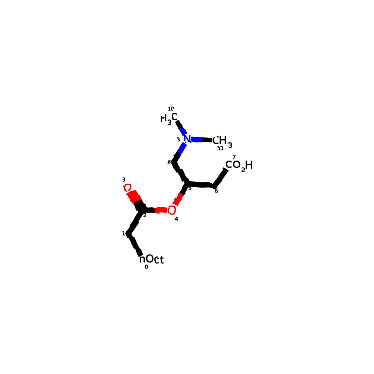 CCCCCCCCCC(=O)OC(CC(=O)O)CN(C)C